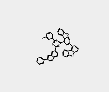 Cc1cccc(-c2nc(-c3ccc4ccc(-c5ccccc5)cc4c3)nc(-c3cc(C4=C5c6ccccc6OC5CC=C4)cc4oc5ccccc5c34)n2)c1